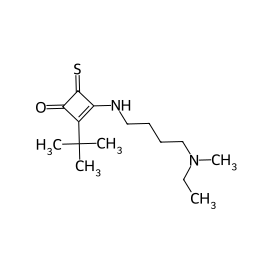 CCN(C)CCCCNc1c(C(C)(C)C)c(=O)c1=S